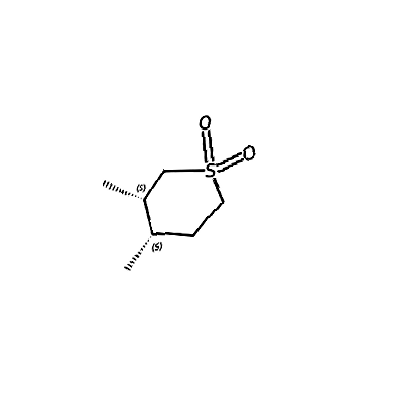 C[C@@H]1CS(=O)(=O)CC[C@@H]1C